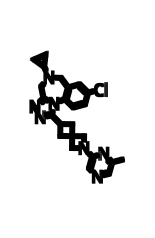 Cc1cncc(N2CC3(CC(c4nnc5n4-c4ccc(Cl)cc4CN(C4CC4)C5)C3)C2)n1